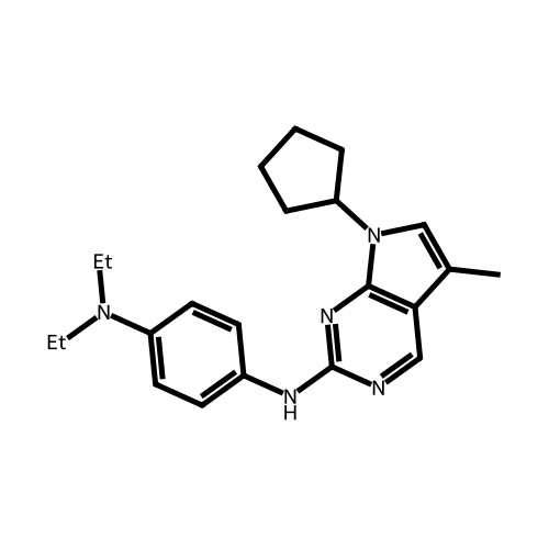 CCN(CC)c1ccc(Nc2ncc3c(C)cn(C4CCCC4)c3n2)cc1